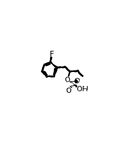 CCC(Cc1ccccc1F)OS(=O)(=O)O